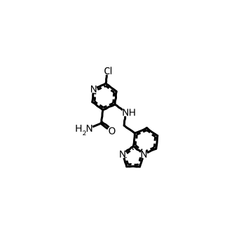 NC(=O)c1cnc(Cl)cc1NCc1cccn2ccnc12